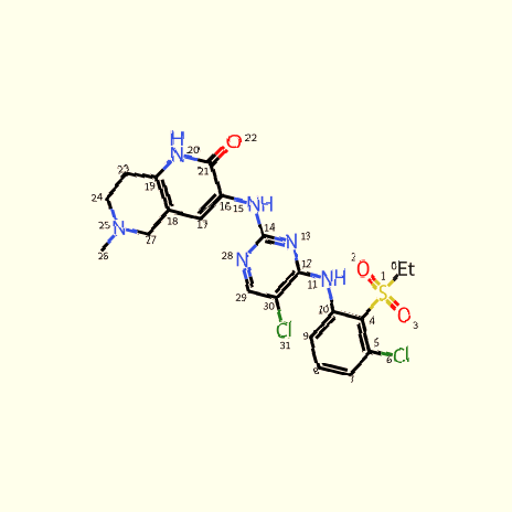 CCS(=O)(=O)c1c(Cl)cccc1Nc1nc(Nc2cc3c([nH]c2=O)CCN(C)C3)ncc1Cl